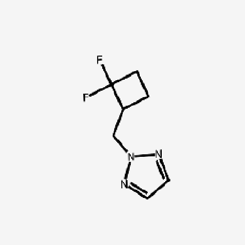 FC1(F)CCC1Cn1nccn1